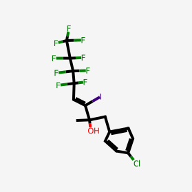 CC(O)(Cc1ccc(Cl)cc1)C(I)=CC(F)(F)C(F)(F)C(F)(F)C(F)(F)F